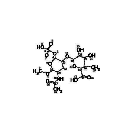 COC1OC(OS(=O)(=O)O)C(OC2OC(C(=O)O)C(C)C(O)C2O)CC1NC(C)=O